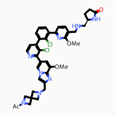 COc1nc(-c2cccc(-c3ccnc(-c4cc(OC)c5nc(CN6CC7(C6)CN(C(C)=O)C7)cn5c4)c3Cl)c2Cl)ccc1CNC[C@H]1CCC(=O)N1